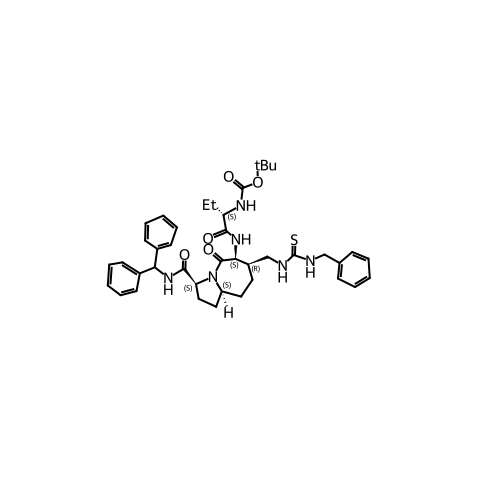 CC[C@H](NC(=O)OC(C)(C)C)C(=O)N[C@@H]1C(=O)N2[C@@H](CC[C@@H]1CNC(=S)NCc1ccccc1)CC[C@H]2C(=O)NC(c1ccccc1)c1ccccc1